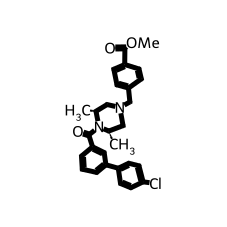 COC(=O)c1ccc(CN2C[C@@H](C)N(C(=O)c3cccc(-c4ccc(Cl)cc4)c3)[C@@H](C)C2)cc1